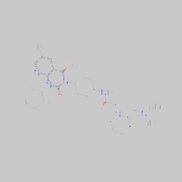 CCCN(CCC)CC1CCCCN1CC(=O)NC1CCC(n2c(=O)c3cc(F)cnc3n(C3CCSCC3)c2=O)CC1